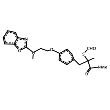 CNC(=O)C(C)(Cc1ccc(OCCN(C)c2nc3ccccc3o2)cc1)SC=O